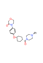 CC(C)N1CCN(C(=O)[C@H]2CC[C@H](Oc3ccc(N4CCOCC4=O)cc3)CC2)CC1